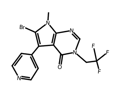 Cn1c(Br)c(-c2ccncc2)c2c(=O)n(CC(F)(F)F)cnc21